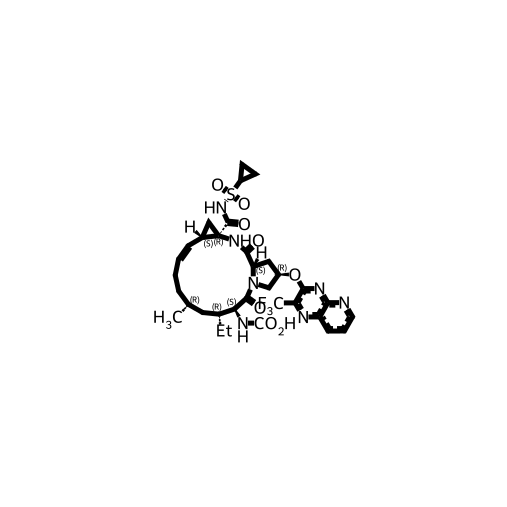 CC[C@@H]1C[C@H](C)CCC=C[C@@H]2C[C@@]2(C(=O)NS(=O)(=O)C2CC2)NC(=O)[C@@H]2C[C@@H](Oc3nc4ncccc4nc3C(F)(F)F)CN2C(=O)[C@H]1NC(=O)O